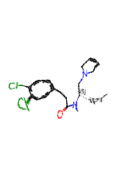 CC(C)[C@@H](CN1CC=CC1)N(C)C(=O)Cc1ccc(Cl)c(Cl)c1